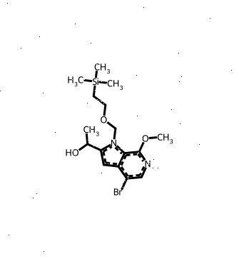 COc1ncc(Br)c2cc(C(C)O)n(COCC[Si](C)(C)C)c12